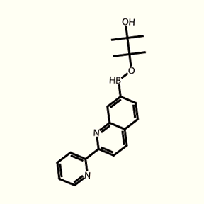 CC(C)(O)C(C)(C)OBc1ccc2ccc(-c3ccccn3)nc2c1